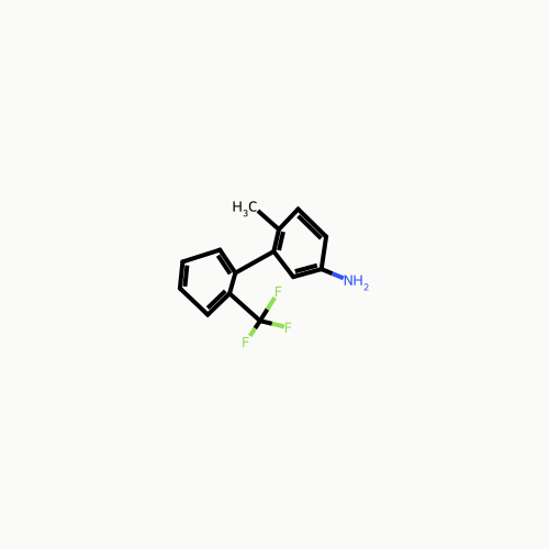 Cc1ccc(N)cc1-c1ccccc1C(F)(F)F